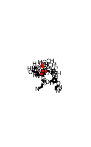 CC(C)[Si](O)(O[Si](O[C@@H]1C2CO[P@@](=O)(S)O[C@H]3C[C@H](Oc4ccncn4)C[C@@H]3CO[P@](=S)(OCCC#N)O[C@H]1[C@H](n1nnc3c(=O)[nH]cnc31)C2)(C(C)C)C(C)C)C(C)C